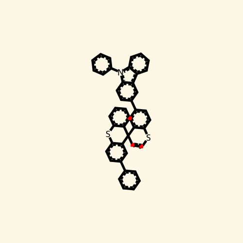 c1ccc(-c2ccc3c(c2)C2(c4ccccc4S3)c3ccccc3Sc3ccc(-c4ccc5c(c4)c4ccccc4n5-c4ccccc4)cc32)cc1